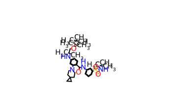 CC(C)(C)NS(=O)(=O)c1cccc(NC(=O)c2ccc(NC(C)(C)CO[Si](C)(C)C(C)(C)C)cc2N2CCC3(CC2)CC3)c1